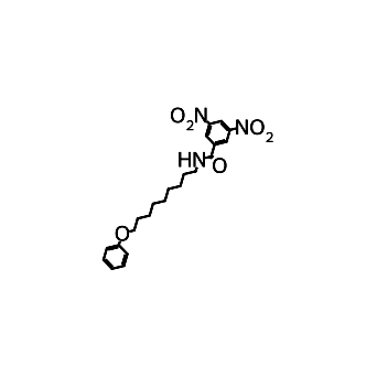 O=C(NCCCCCCCCCOc1ccccc1)c1cc([N+](=O)[O-])cc([N+](=O)[O-])c1